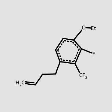 C=CCCc1ccc(OCC)c(F)c1C(F)(F)F